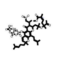 COC(=O)/C(C)=C\CC(C)(OC(C)(C)CC1Oc2c(CC=C(C)C)c3c(c(OP(=O)(O)OP(=O)(O)OP(=O)(O)O)c2C(=O)C1C(C)C[N+](=O)[O-])C=CC(C)(CCC=C(C)C)O3)C(C)=O